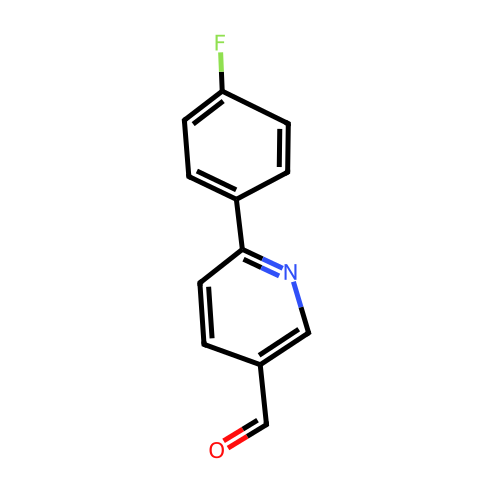 O=Cc1ccc(-c2ccc(F)cc2)nc1